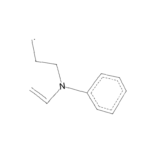 [CH2]CCN(C=C)c1ccccc1